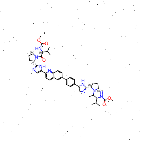 COC(=O)NC(C(C)C)C(C)N1[C@@H](C)CC[C@H]1c1ncc(-c2ccc(-c3ccc4nc(-c5cnc([C@@H]6CC[C@H](C)N6C(=O)[C@@H](NC(=O)OC)C(C)C)[nH]5)ccc4c3)cc2)[nH]1